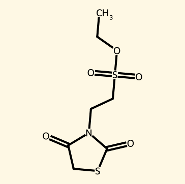 CCOS(=O)(=O)CCN1C(=O)CSC1=O